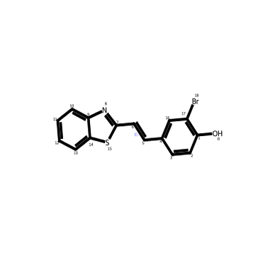 Oc1ccc(/C=C/c2nc3ccccc3s2)cc1Br